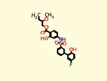 CCC(COC(=O)c1ccc(NS(=O)(=O)c2cccc(-c3cc(F)ccc3O)c2)cc1O)OC